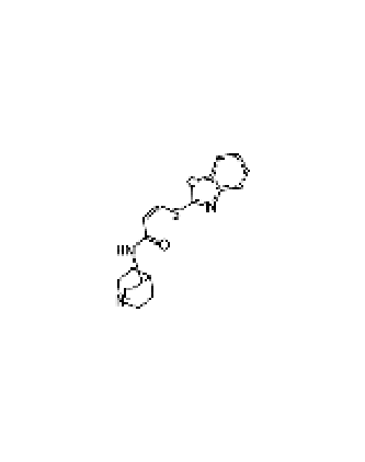 O=C(/C=C\Sc1nc2ccccc2o1)NC1CN2CCC1CC2